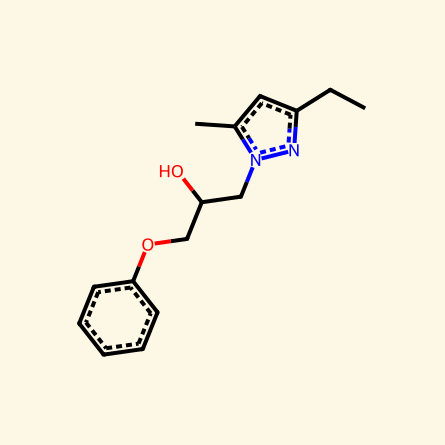 CCc1cc(C)n(CC(O)COc2ccccc2)n1